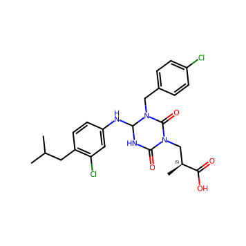 CC(C)Cc1ccc(NC2NC(=O)N(C[C@H](C)C(=O)O)C(=O)N2Cc2ccc(Cl)cc2)cc1Cl